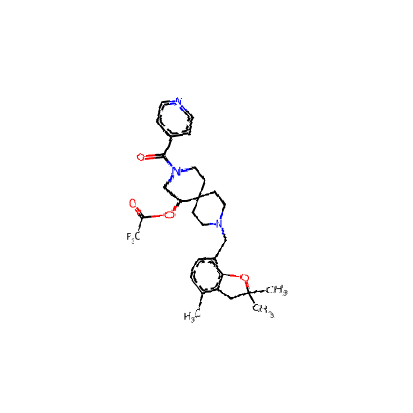 Cc1ccc(CN2CCC3(CC2)CCN(C(=O)c2ccncc2)CC3OC(=O)C(F)(F)F)c2c1CC(C)(C)O2